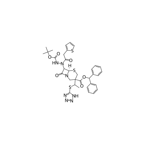 CC(Sc1nnn[nH]1)C1(C(=O)OC(c2ccccc2)c2ccccc2)CS[C@@H]2C(N(NC(=O)OC(C)(C)C)C(=O)Cc3cccs3)C(=O)N2C1